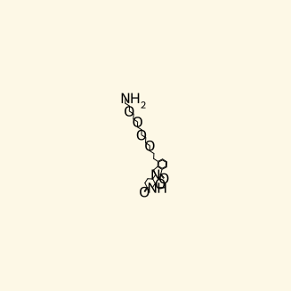 NCCOCCOCCOCCOCCCc1cccc2c1CN(C1CCC(=O)NC1=O)C2=O